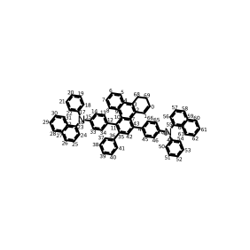 C1=Cc2c(c3ccccc3c3c(-c4ccc(N(c5ccccc5)c5cccc6ccccc56)cc4)c(-c4ccccc4)cc(-c4ccc(N(c5ccccc5)c5cccc6ccccc56)cc4)c23)CC1